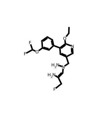 CCOc1ncc(CN(N)/C=C(\N)CF)cc1-c1cccc(OC(F)F)c1